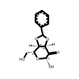 O=C1[C@H](O)O[C@H](CO)[C@H]2OC(c3ccccc3)O[C@@H]12